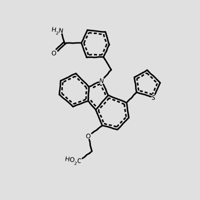 NC(=O)c1cccc(Cn2c3ccccc3c3c(OCC(=O)O)ccc(-c4cccs4)c32)c1